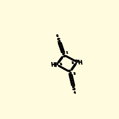 S=S1PS(=S)P1